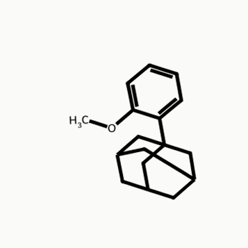 COc1ccccc1C12CC3CC(CC(C3)C1)C2